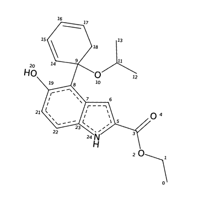 CCOC(=O)c1cc2c(C3(OC(C)C)C=CC=CC3)c(O)ccc2[nH]1